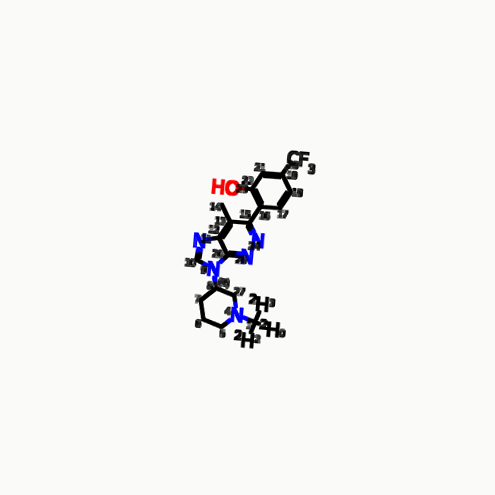 [2H]C([2H])([2H])N1CCC[C@@H](n2cnc3c(C)c(-c4ccc(C(F)(F)F)cc4O)nnc32)C1